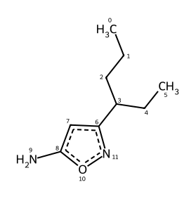 CCCC(CC)c1cc(N)on1